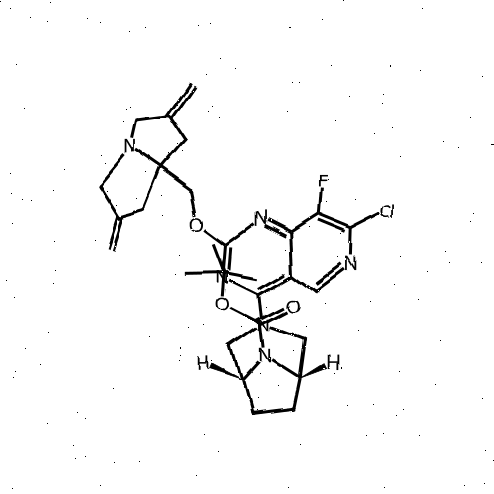 C=C1CN2CC(=C)CC2(COc2nc(N3C[C@H]4CC[C@@H](C3)N4C(=O)OC(C)(C)C)c3cnc(Cl)c(F)c3n2)C1